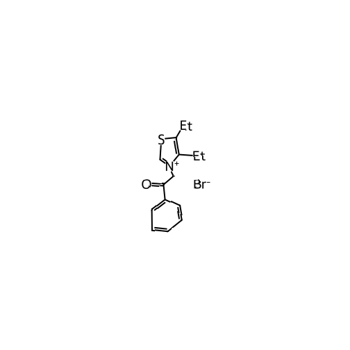 CCc1sc[n+](CC(=O)c2ccccc2)c1CC.[Br-]